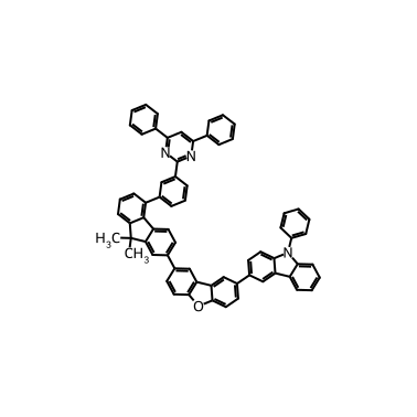 CC1(C)c2cc(-c3ccc4oc5ccc(-c6ccc7c(c6)c6ccccc6n7-c6ccccc6)cc5c4c3)ccc2-c2c(-c3cccc(-c4nc(-c5ccccc5)cc(-c5ccccc5)n4)c3)cccc21